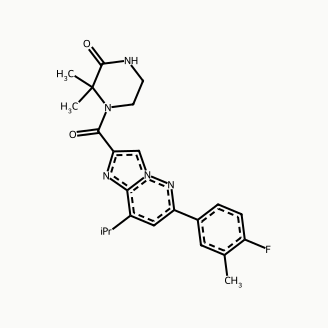 Cc1cc(-c2cc(C(C)C)c3nc(C(=O)N4CCNC(=O)C4(C)C)cn3n2)ccc1F